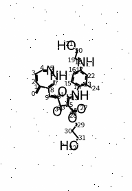 C=C1/C=C\C=N/N/C=C1/C=C1\OC(Nc2ccc(NCCO)cc2C)=C(C(=O)OCCCO)C1=O